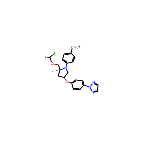 C[C@@]1(COC(F)F)C[C@H](Oc2ccc(-n3nccn3)cc2)CN1c1ccc(C(=O)O)cc1